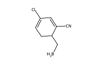 BCC1CC=C(Cl)C=C1C#N